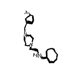 CC(=O)c1cccc(CN2CCN(CCNC3CCCCCC3)CC2)c1